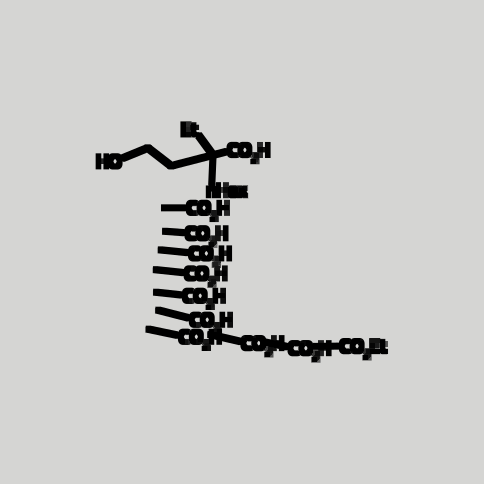 CC(=O)O.CC(=O)O.CC(=O)O.CC(=O)O.CC(=O)O.CC(=O)O.CC(=O)O.CC(=O)O.CC(=O)O.CCCCCCC(CC)(CCO)C(=O)O.CCOC(C)=O